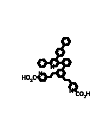 O=C(O)c1ccc(CCc2cc(CCc3ccc(C(=O)O)nc3)cc(-c3ccccc3-c3cnc(-c4ccccc4)cc3-c3ccc(-c4ccccc4)cc3)c2)cn1